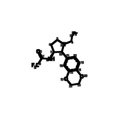 CC(C)CN1CC[C@H](NC(=O)C(F)(F)F)C1c1ccc2c(c1)OCCO2